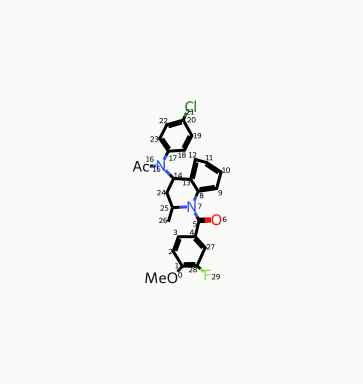 COc1ccc(C(=O)N2c3ccccc3C(N(C(C)=O)c3ccc(Cl)cc3)CC2C)cc1F